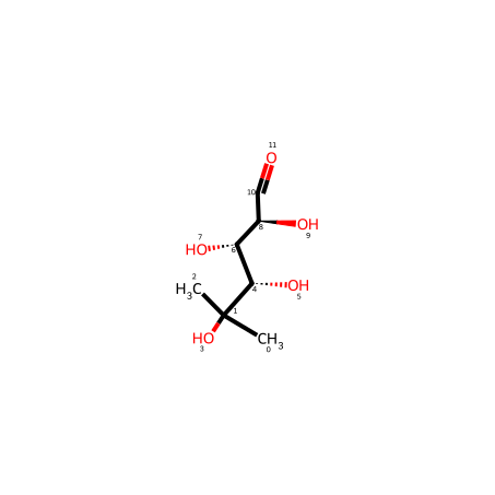 CC(C)(O)[C@@H](O)[C@H](O)[C@H](O)C=O